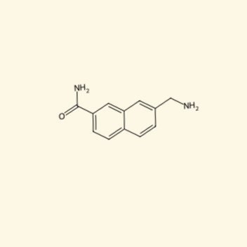 NCc1ccc2ccc(C(N)=O)cc2c1